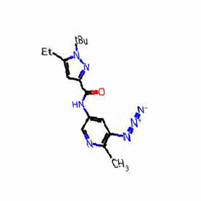 CCc1cc(C(=O)Nc2cnc(C)c(N=[N+]=[N-])c2)nn1C(C)(C)C